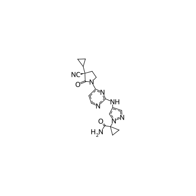 N#C[C@@]1(C2CC2)CCN(c2ccnc(Nc3cnn(C4(C(N)=O)CC4)c3)n2)C1=O